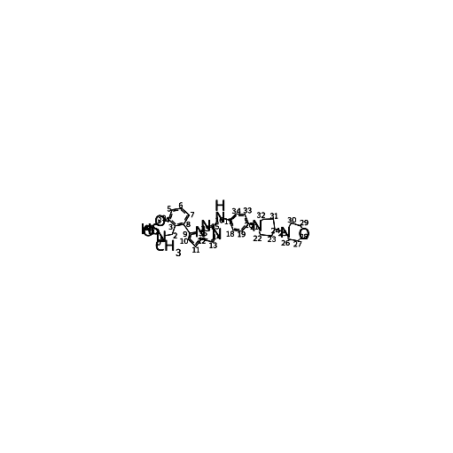 CN(Cc1ccccc1-c1ccc2cnc(Nc3ccc(N4CCC(N5CCOCC5)CC4)cc3)nn12)[SH](=O)=O